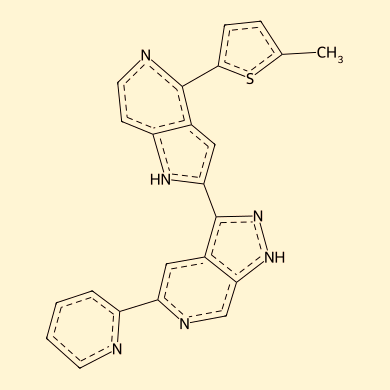 Cc1ccc(-c2nccc3[nH]c(-c4n[nH]c5cnc(-c6ccccn6)cc45)cc23)s1